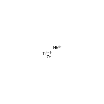 [F].[Nb+5].[O-2].[Ti+4]